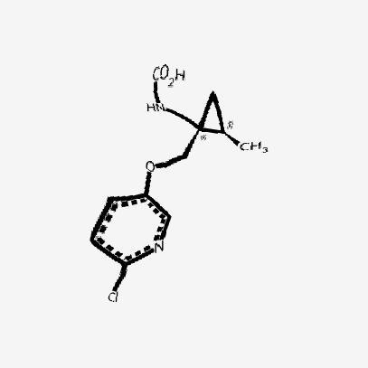 C[C@@H]1C[C@@]1(COc1ccc(Cl)nc1)NC(=O)O